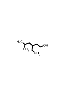 CC(C)CC(CN)CCO